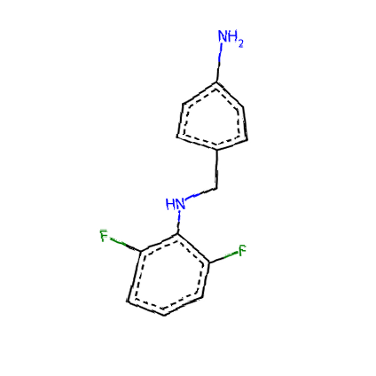 Nc1ccc(CNc2c(F)cccc2F)cc1